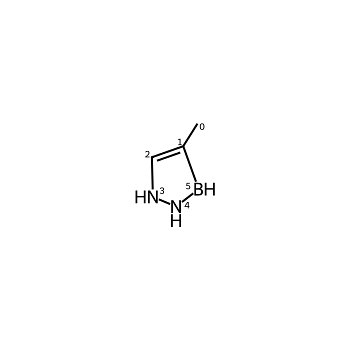 CC1=CNNB1